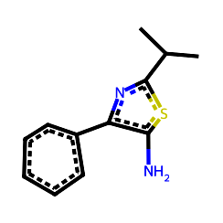 CC(C)c1nc(-c2ccccc2)c(N)s1